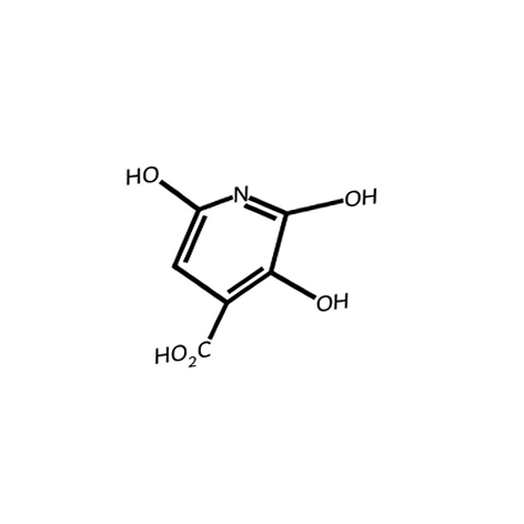 O=C(O)c1cc(O)nc(O)c1O